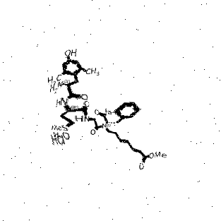 COC(=O)CCCCCCN(C(=O)CNC(=O)[C@@H](CCSC)NC(=O)[C@@H](N)Cc1c(C)cc(O)cc1C)[C@@H](Cc1ccccc1)C(N)=O.Cl.O